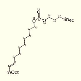 CCCCCCCCC=CCCCCCCCCOC(=O)OCCCCCCCCCCCCC